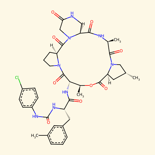 Cc1cccc(C[C@H](NC(=O)Nc2ccc(Cl)cc2)C(=O)N[C@@H]2C(=O)N3CCC[C@H]3C(=O)N3CC(=O)NC[C@H]3C(=O)N[C@@H](C)C(=O)N3C[C@H](C)C[C@H]3C(=O)O[C@H]2C)c1